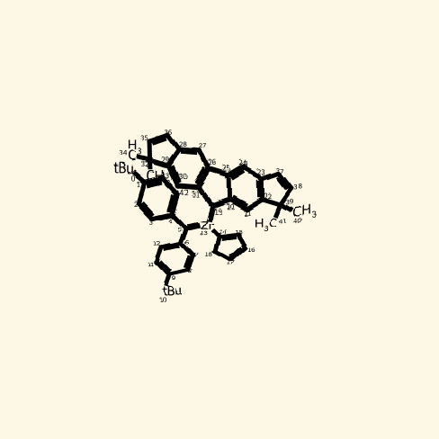 CC(C)(C)c1ccc([C](c2ccc(C(C)(C)C)cc2)=[Zr]([C]2=CC=CC2)[CH]2c3cc4c(cc3-c3cc5c(cc32)C(C)(C)C=C5)C=CC4(C)C)cc1